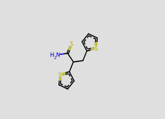 NC(=S)C(Cc1cccs1)c1cccs1